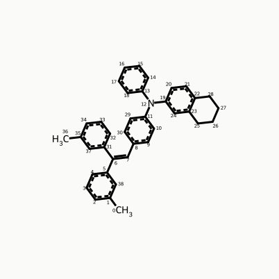 Cc1cccc(C(=Cc2ccc(N(c3ccccc3)c3ccc4c(c3)CCCC4)cc2)c2cccc(C)c2)c1